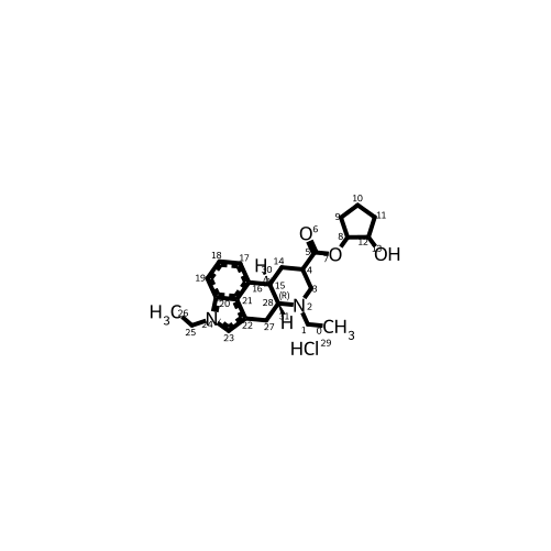 CCN1CC(C(=O)OC2CCCC2O)C[C@@H]2c3cccc4c3c(cn4CC)C[C@H]21.Cl